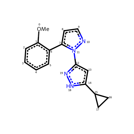 COc1ccccc1-c1ccnn1-c1cc(C2CC2)[nH]n1